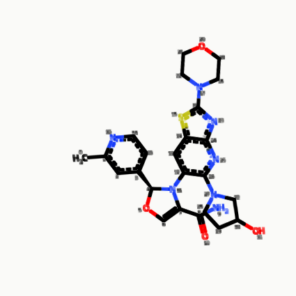 Cc1cc([C@@H]2OC=C(C(N)=O)N2c2cc3sc(N4CCOCC4)nc3nc2N2CCC(O)C2)ccn1